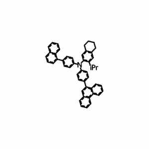 CC(C)c1cc2c(cc1N(c1ccc(-c3cccc4ccccc34)cc1)c1ccc(-c3cc4ccccc4c4ccccc34)cc1)CCCC2